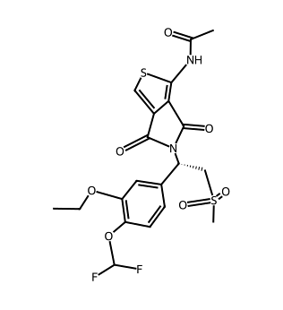 CCOc1cc([C@@H](CS(C)(=O)=O)N2C(=O)c3csc(NC(C)=O)c3C2=O)ccc1OC(F)F